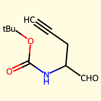 C#CCC(C=O)NC(=O)OC(C)(C)C